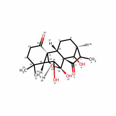 CC1C(=O)[C@]23C(O)[C@H]1CC[C@H]2[C@@]12CO[C@]3(O)[C@@H](O)[C@@H]1C(C)(C)CCC2=O